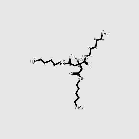 CNCCCCCNC(=O)CC(CC(=O)NCCCCCN)(OC)C(=O)NCCCCCNC